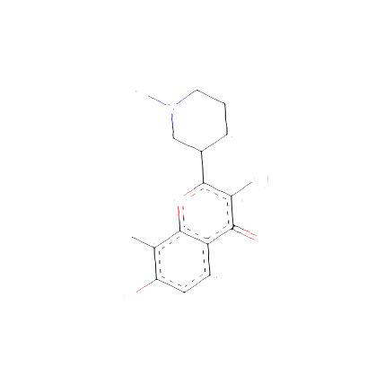 CC(=O)N1CCCC(c2oc3c(C)c(O)ccc3c(=O)c2C)C1